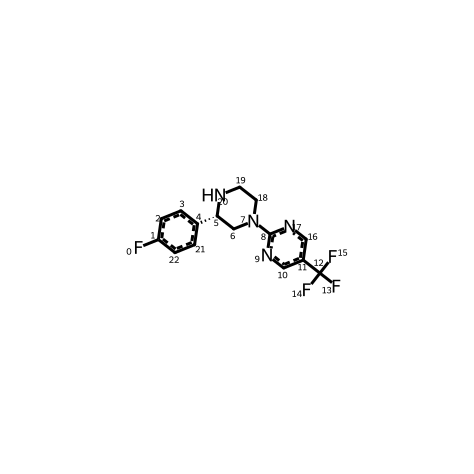 Fc1ccc([C@H]2CN(c3ncc(C(F)(F)F)cn3)CCN2)cc1